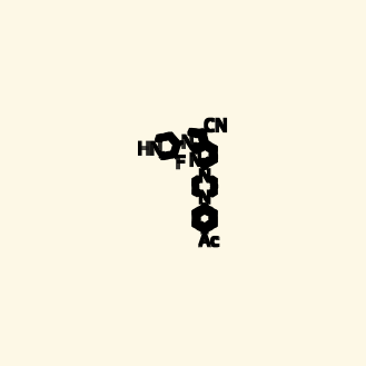 CC(=O)c1ccc(N2CCN(c3ccc4c(C#N)cn([C@@H]5CCNC[C@H]5F)c4n3)CC2)cc1